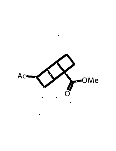 COC(=O)C12C3C4C1C1C2C3C41C(C)=O